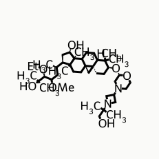 CCO[C@@H](C(C[C@@H](C)[C@H]1C[C@H](O)[C@@]2(C)C3CC[C@H]4C(C)(C)[C@@H](O[C@H]5CN(C6CN(C(C)(C)CO)C6)CCO5)CC[C@@]45C[C@@]35CC[C@]12C)OC)C(C)(C)O